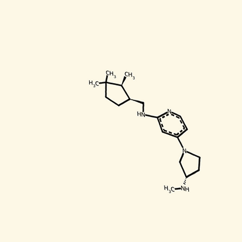 CN[C@H]1CCN(c2ccnc(NC[C@H]3CCC(C)(C)[C@H]3C)c2)C1